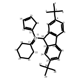 CC(C)(C)c1ccc2c(c1)[CH]([Zr]([C]1=CC=CC1)=[C]1CCCCC1)c1cc(C(C)(C)C)ccc1-2